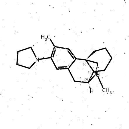 Cc1cc2c(cc1N1CCCC1)C[C@H]1[C@@H]3CCCC[C@]23CCN1C